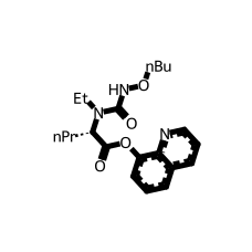 CCCCONC(=O)N(CC)[C@@H](CCC)C(=O)Oc1cccc2cccnc12